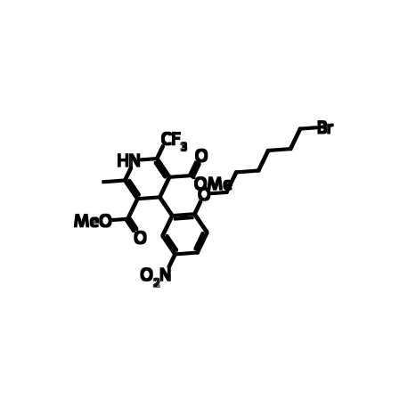 COC(=O)C1=C(C)NC(C(F)(F)F)=C(C(=O)OC)C1c1cc([N+](=O)[O-])ccc1OCCCCCCBr